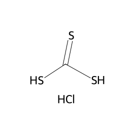 Cl.S=C(S)S